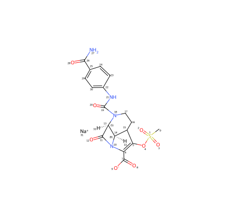 CS(=O)(=O)OC1=C(C(=O)[O-])N2C(=O)[C@@H]3[C@H]2C1CCN3C(=O)Nc1ccc(C(N)=O)cc1.[Na+]